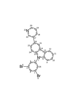 Brc1cc(Br)cc(-n2c3ccccc3c3cc(-c4cccnc4)ccc32)c1